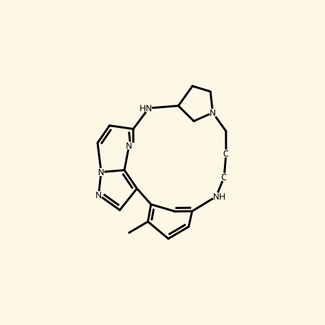 Cc1ccc2cc1-c1cnn3ccc(nc13)NC1CCN(CCCN2)C1